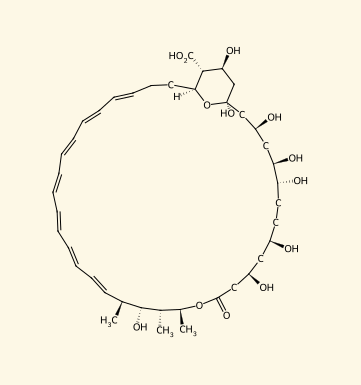 C[C@@H]1[C@H](O)[C@@H](C)/C=C/C=C/C=C/C=C/C=C/C=C/C=C/CC[C@@H]2O[C@](O)(C[C@@H](O)C[C@@H](O)[C@H](O)CC[C@@H](O)C[C@@H](O)CC(=O)O[C@H]1C)C[C@H](O)[C@H]2C(=O)O